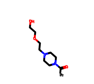 CC(C)C(=O)N1CCN(CCOCCO)CC1